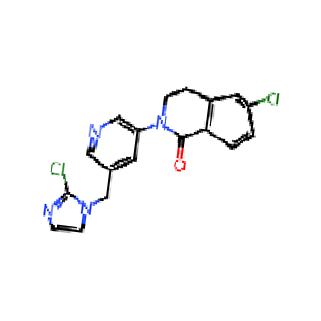 O=C1c2ccc(Cl)cc2CCN1c1cncc(Cn2ccnc2Cl)c1